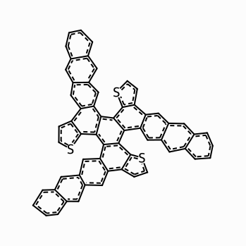 c1ccc2cc3cc4c(cc3cc2c1)c1ccsc1c1c4c2c3sccc3c3cc4cc5ccccc5cc4cc3c2c2c3sccc3c3cc4cc5ccccc5cc4cc3c12